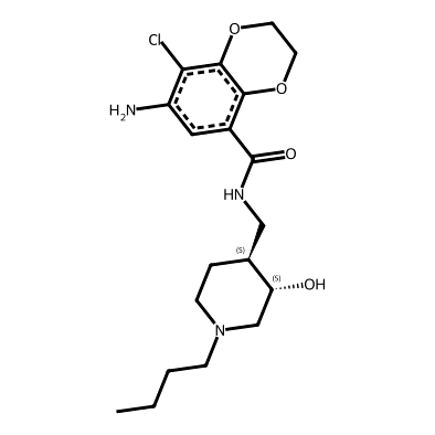 CCCCN1CC[C@@H](CNC(=O)c2cc(N)c(Cl)c3c2OCCO3)[C@H](O)C1